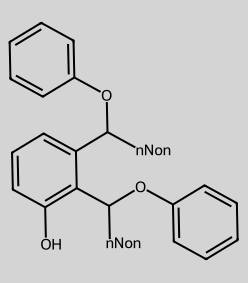 CCCCCCCCCC(Oc1ccccc1)c1cccc(O)c1C(CCCCCCCCC)Oc1ccccc1